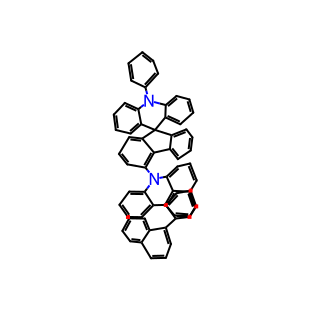 c1ccc(N2c3ccccc3C3(c4ccccc4-c4c(N(c5ccccc5-c5ccccc5-c5cccc6ccccc56)c5cccc6ccccc56)cccc43)c3ccccc32)cc1